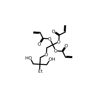 C=CC(=O)OC(COCC(CC)(CO)CO)(OC(=O)C=C)OC(=O)C=C